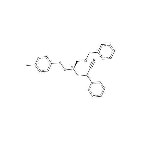 Cc1ccc(SO[C@@H](COCc2ccccc2)CC(C#N)c2ccccc2)cc1